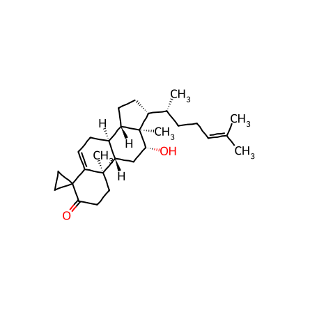 CC(C)=CCC[C@@H](C)[C@H]1CC[C@H]2[C@@H]3CC=C4C5(CC5)C(=O)CC[C@]4(C)[C@H]3C[C@@H](O)[C@]12C